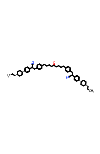 CCC[C@H]1CC[C@H](c2ccc(C(C#N)Cc3ccc(CCCCC(=O)CCCCc4ccc(CC(C#N)c5ccc([C@H]6CC[C@H](CCC)CC6)cc5)cc4)cc3)cc2)CC1